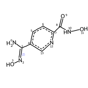 N/C(=N\O)c1ccc(C(=O)NO)nc1